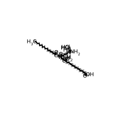 CCCCCCCCCCCCCCCC(=O)OCCN(CCOC(=O)CCCCCCCCCCCCCCC(=O)O)C(=O)[C@@H](N)CCCNC(=N)N.Cl.Cl